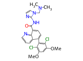 COc1cc(OC)c(Cl)c(-c2ccc(C(=O)Nc3nccn3CN(C)C)c3ncccc23)c1Cl